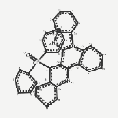 O=P(c1ccccc1)(c1ccccc1)c1c2ccccc2nc2c3ccccc3n3c4ccccc4nc3c12